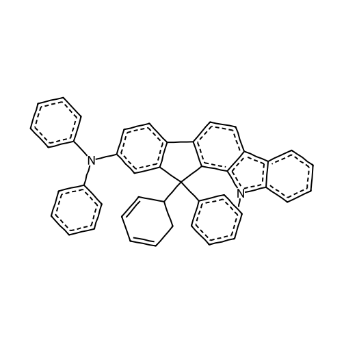 Cn1c2ccccc2c2ccc3c(c21)C(c1ccccc1)(C1C=CC=CC1)c1cc(N(c2ccccc2)c2ccccc2)ccc1-3